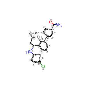 CC(=O)N[C@@H](C)CC(Nc1ccc(Cl)cc1)c1cccc(-c2ccc(C(N)=O)cc2)c1